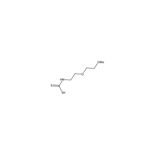 COCCOCCNC(=S)S